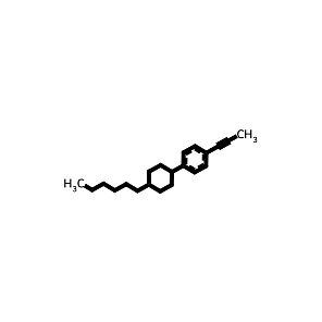 CC#Cc1ccc(C2CCC(CCCCCC)CC2)cc1